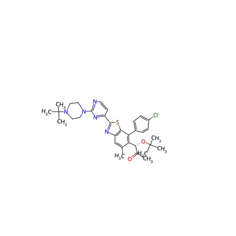 CC(=O)[C@@H](OC(C)(C)C)c1c(C)cc2nc(-c3ccnc(N4CCN(C(C)(C)C)CC4)n3)sc2c1-c1ccc(Cl)cc1